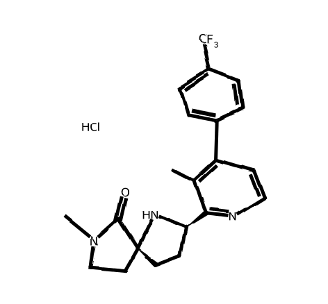 Cc1c(-c2ccc(C(F)(F)F)cc2)ccnc1[C@H]1CC[C@]2(CCN(C)C2=O)N1.Cl